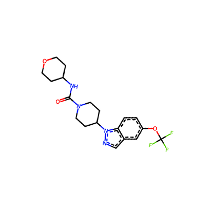 O=C(NC1CCOCC1)N1CCC(n2ncc3cc(OC(F)(F)F)ccc32)CC1